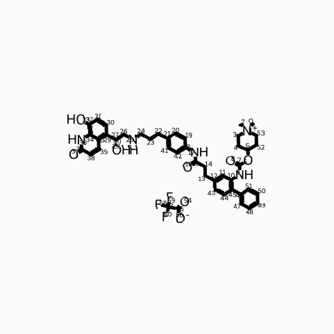 C[N+]1(C)CCC(OC(=O)Nc2cc(CCC(=O)Nc3ccc(CCCNC[C@H](O)c4ccc(O)c5[nH]c(=O)ccc45)cc3)ccc2-c2ccccc2)CC1.O=C([O-])C(F)(F)F